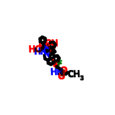 CCCS(=O)(=O)NCCOc1ccc2c(c1)C(C1(c3ccc(F)cc3)CCC1)N(C(Cc1ccccc1)(NC(=O)O)N(Cc1ccccc1)C(=O)O)CC2